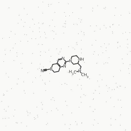 CN(C)CC1CN(c2ncc3c(n2)CCB(C#N)C3)CCN1